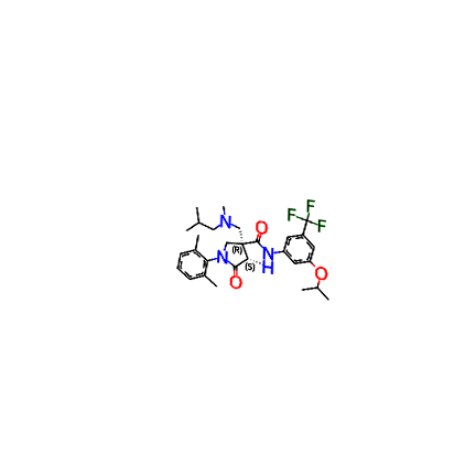 Cc1cccc(C)c1N1C[C@@](CN(C)CC(C)C)(C(=O)Nc2cc(OC(C)C)cc(C(F)(F)F)c2)[C@H](C)C1=O